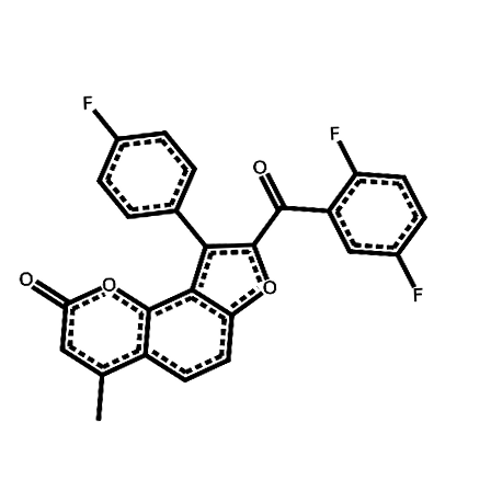 Cc1cc(=O)oc2c1ccc1oc(C(=O)c3cc(F)ccc3F)c(-c3ccc(F)cc3)c12